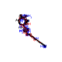 CCCC[C@H](NC(=O)CN(CCN(C)C)C(=O)[C@H](Cc1c[nH]cn1)NC(=O)[C@H](CCC(N)=O)NC(=O)[C@H](CO)NC(=O)CNC(=O)COCCOCCNC(=O)CCCCCCCCCCCCCCCc1nnn[nH]1)C(=O)N[C@H]1CCC(=O)NCCCC[C@@H](C(C)=O)NC(=O)[C@H](Cc2c[nH]c3ccccc23)NC(=O)[C@H](CCCNC(=N)N)NC(=O)[C@@H](Cc2ccccc2)NC(=O)[C@@H]2C[C@@H](O)CN2C1=O